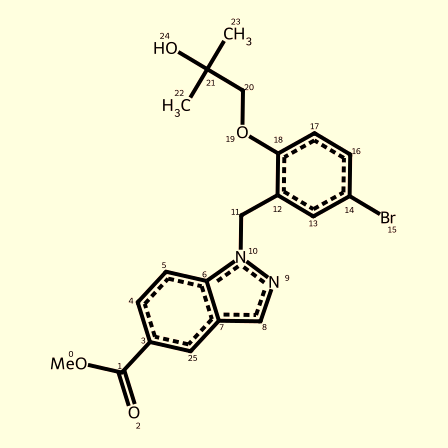 COC(=O)c1ccc2c(cnn2Cc2cc(Br)ccc2OCC(C)(C)O)c1